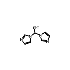 CCCC(n1ccnc1)n1ccnc1